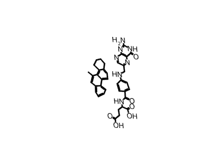 Cc1cc2ccccc2c2ccc3c(c12)CCCC3.Nc1nc2ncc(CNc3ccc(C(=O)NC(CCC(=O)O)C(=O)O)cc3)nc2c(=O)[nH]1